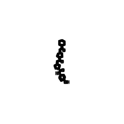 O=C(Nc1ccc(O)cc1)[C@@H]1CCN(CC(=O)N2CCN(CC(=O)N3CCCCC3)CC2)C1